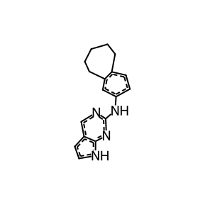 c1cc2cnc(Nc3ccc4c(c3)CCCCC4)nc2[nH]1